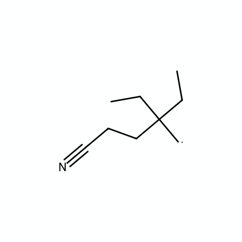 [CH2]C(CC)(CC)CCC#N